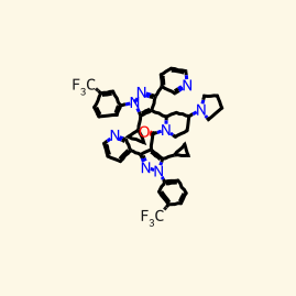 O=C(c1c(-c2cccnc2)nn(-c2cccc(C(F)(F)F)c2)c1C1CC1)N1CCC(N2CCCC2)CC1c1c(-c2cccnc2)nn(-c2cccc(C(F)(F)F)c2)c1C1CC1